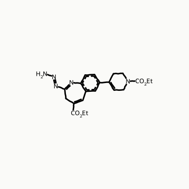 CCOC(=O)C1=Cc2cc(C3=CCN(C(=O)OCC)CC3)ccc2N=C(N=NN)C1